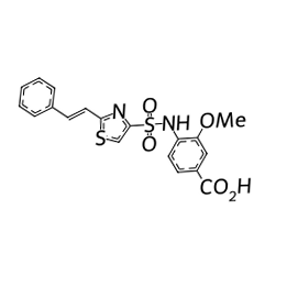 COc1cc(C(=O)O)ccc1NS(=O)(=O)c1csc(/C=C/c2ccccc2)n1